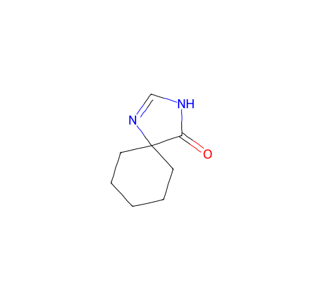 O=C1NC=NC12CCCCC2